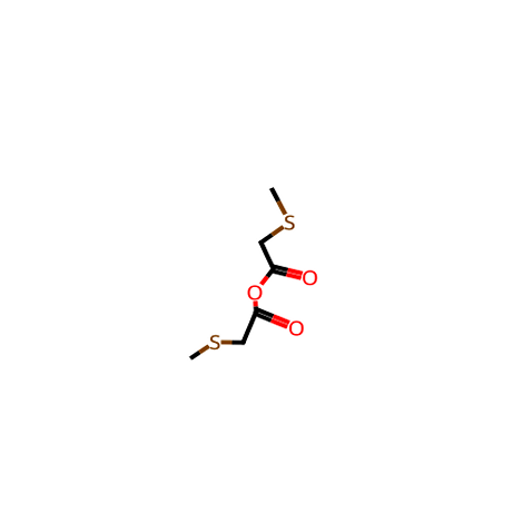 CSCC(=O)OC(=O)CSC